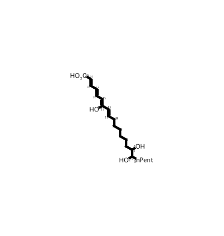 CCCCCC(O)C(O)CCCCCCC=CC(O)=CC=CC=CC(=O)O